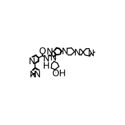 CN1CCC2(CC1)CN(C1CCN(c3ccc4nc(NC(=O)c5ccnc(-c6cnn(C)c6)c5)n([C@H]5CC[C@@H](O)CC5)c4c3)CC1)C2